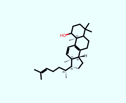 CC(C)=CCC[C@@H](C)[C@H]1CC[C@H]2C3=C(C=C[C@]12C)[C@@]1(C)C(O)CCC(C)(C)C1CC3